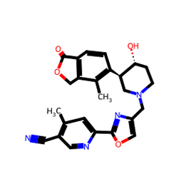 Cc1cc(-c2nc(CN3CC[C@@H](O)[C@H](c4ccc5c(c4C)COC5=O)C3)co2)ncc1C#N